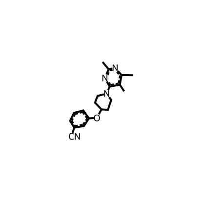 Cc1nc(C)c(C)c(N2CCC(Oc3cccc(C#N)c3)CC2)n1